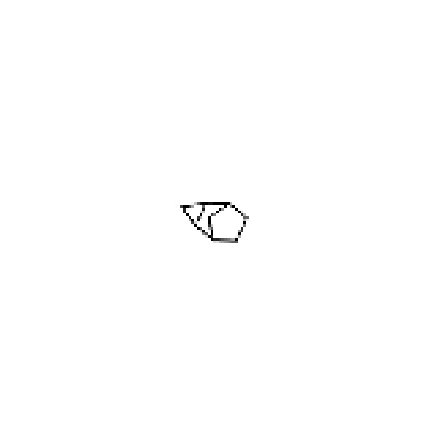 [CH]1C2C3CCC(C3)C12